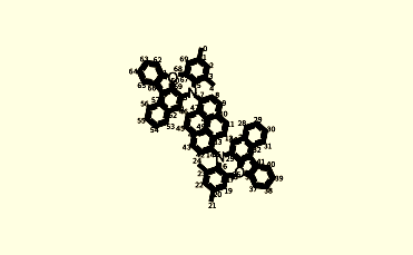 Cc1cc(C)c(N(c2ccc3ccc4c(N(c5c(C)cc(C)cc5C)c5cc6ccccc6c6c5oc5ccccc56)ccc5ccc2c3c54)c2cc3ccccc3c3c2oc2ccccc23)c(C)c1